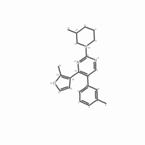 Cc1cccc(-c2cnc(N3CCCC(C)C3)nc2-c2ccoc2C)c1